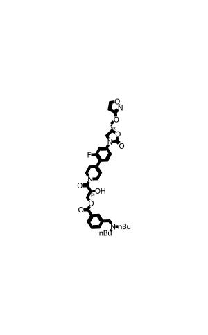 CCCCN(CCCC)Cc1cccc(C(=O)OC[C@H](O)C(=O)N2CC=C(c3ccc(N4C[C@H](COc5ccon5)OC4=O)cc3F)CC2)c1